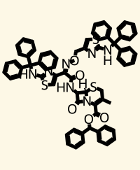 CC1=C(C(=O)OC(c2ccccc2)c2ccccc2)N2C(=O)C(NC(=O)/C(=N\OCc3csc(NC(c4ccccc4)(c4ccccc4)c4ccccc4)n3)c3csc(NC(c4ccccc4)(c4ccccc4)c4ccccc4)n3)[C@H]2SC1